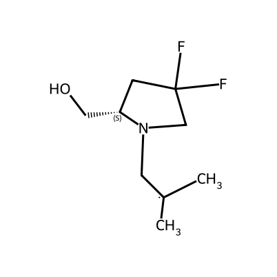 C[C](C)CN1CC(F)(F)C[C@H]1CO